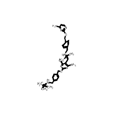 CC(C)(C)NCc1ccc(COc2nc(N)c(CC(C)(C)NCc3ccc(COc4nccc(N)n4)cc3)c(Cl)n2)cc1